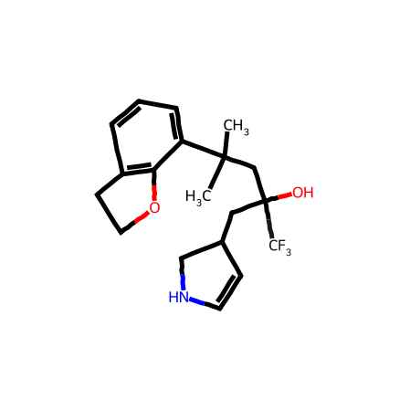 CC(C)(CC(O)(CC1C=CNC1)C(F)(F)F)c1cccc2c1OCC2